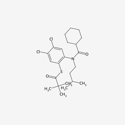 CC(C)CCN(C(=O)C1CCCCC1)c1cc(Cl)c(Cl)cc1SC(=O)C(C)(C)C